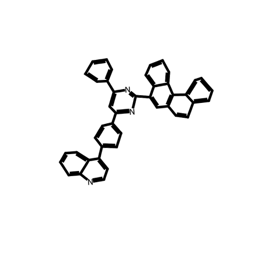 c1ccc(-c2cc(-c3ccc(-c4ccnc5ccccc45)cc3)nc(-c3cc4ccc5ccccc5c4c4ccccc34)n2)cc1